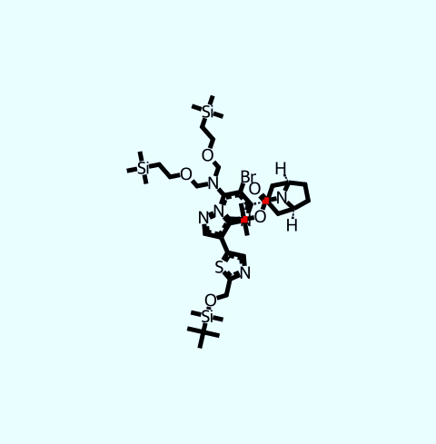 CC(C)(C)OC(=O)N1[C@@H]2CC[C@H]1C[C@H](c1nc3c(-c4cnc(CO[Si](C)(C)C(C)(C)C)s4)cnn3c(N(COCC[Si](C)(C)C)COCC[Si](C)(C)C)c1Br)C2